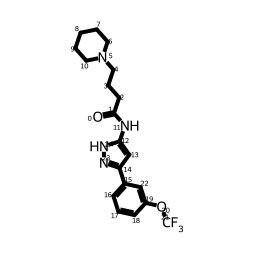 O=C(CCCN1CCCCC1)Nc1cc(-c2cccc(OC(F)(F)F)c2)n[nH]1